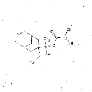 C=C(C)C(=O)OC(C)(C)C1(CC)CC2CCCC(C2)C1